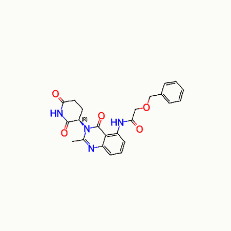 Cc1nc2cccc(NC(=O)COCc3ccccc3)c2c(=O)n1[C@@H]1CCC(=O)NC1=O